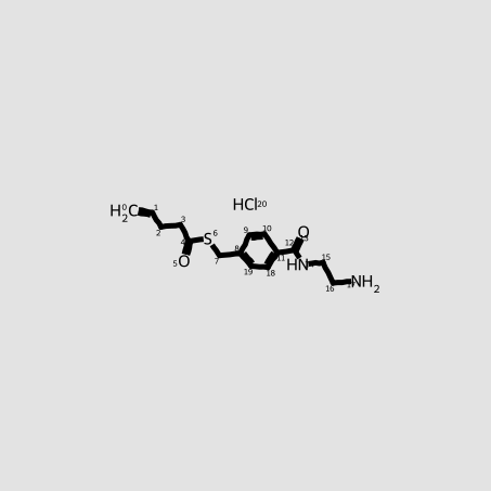 C=CCCC(=O)SCc1ccc(C(=O)NCCN)cc1.Cl